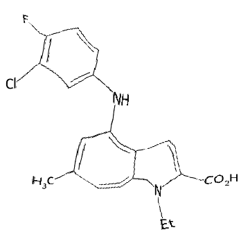 CCn1c(C(=O)O)cc2c(Nc3ccc(F)c(Cl)c3)cc(C)cc21